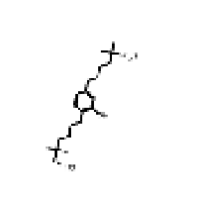 CC(C)(CCCCc1ccc(CCCCC(C)(C)C(=O)O)cc1O)OC=O